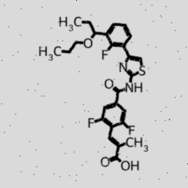 CCCOC(CC)c1cccc(-c2csc(NC(=O)c3cc(F)c(C=C(C)C(=O)O)c(F)c3)n2)c1F